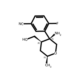 C[C@H]1C[C@@H](CO)[C@](N)(c2cc(C#N)ccc2F)CO1